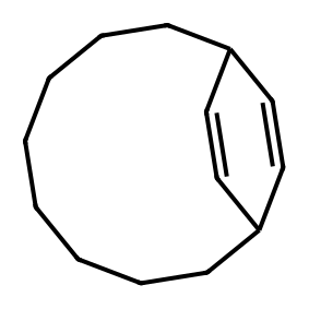 C1=CC2C=CC1CCCCCCCC2